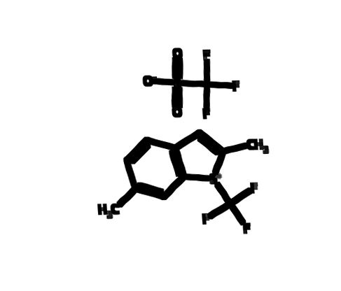 Cc1ccc2cc(C)[s+](C(F)(F)F)c2c1.O=S(=O)([O-])C(F)(F)F